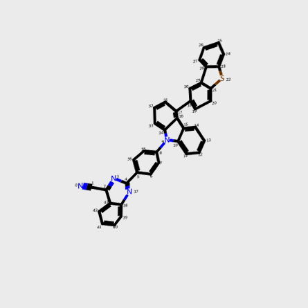 N#Cc1nc(-c2ccc(-n3c4ccccc4c4c(-c5ccc6sc7ccccc7c6c5)cccc43)cc2)nc2ccccc12